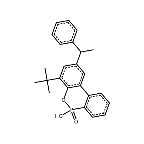 CC(c1ccccc1)c1cc2c(c(C(C)(C)C)c1)OP(=O)(O)c1ccccc1-2